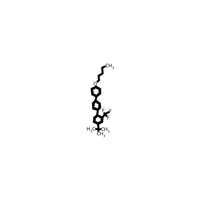 CCCCCOc1ccc(-c2ccc(-c3ccc(C(C)(C)C)cc3C(F)(F)F)cc2)cc1